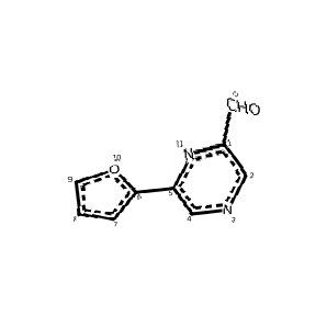 O=Cc1cncc(-c2ccco2)n1